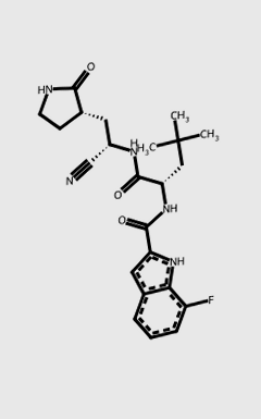 CC(C)(C)C[C@H](NC(=O)c1cc2cccc(F)c2[nH]1)C(=O)N[C@H](C#N)C[C@@H]1CCNC1=O